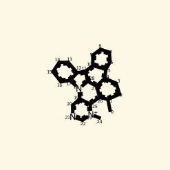 Cc1ccc2c3ccccc3c3c4ccccc4n4c5cnc[n+](C)c5c1c2c34